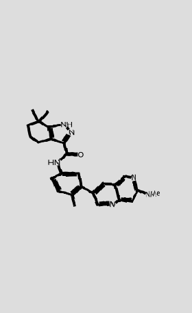 CNc1cc2ncc(-c3cc(NC(=O)c4n[nH]c5c4CCCC5(C)C)ccc3C)cc2cn1